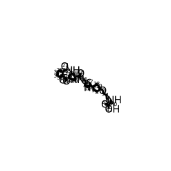 C[C@H](NCCCOc1ccc(-c2ncc(CNC(=O)c3ccc4c(c3)NC(=O)c3ccccc3S4(=O)=O)s2)cc1)C(=O)O